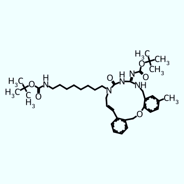 Cc1ccc2c(c1)CN/C(=N\C(=O)OC(C)(C)C)NC(=O)N(CCCCCCCCNC(=O)OC(C)(C)C)C/C=C/c1ccccc1CO2